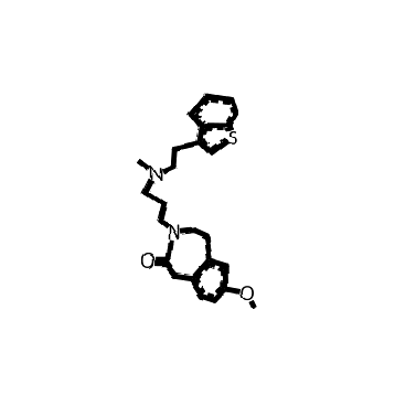 COc1ccc2c(c1)CCN(CCCN(C)CCc1csc3ccccc13)C(=O)C2